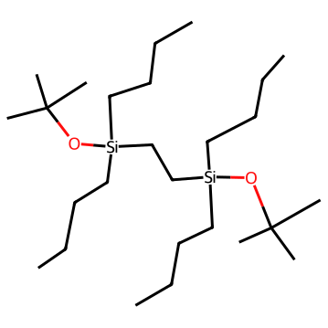 CCCC[Si](CCCC)(CC[Si](CCCC)(CCCC)OC(C)(C)C)OC(C)(C)C